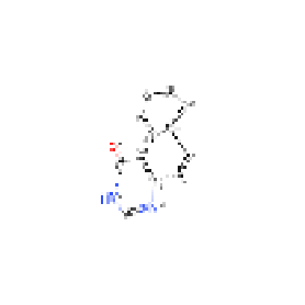 O=c1[nH]cnc2ccc3ccccc3c12